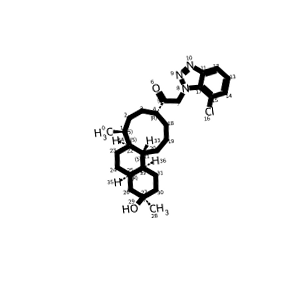 C[C@H]1CC[C@H](C(=O)Cn2nnc3cccc(Cl)c32)CCC[C@H]2[C@H]1CC[C@@H]1C[C@](C)(O)CC[C@@H]12